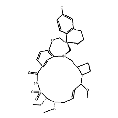 CC[C@H]1[C@@H](OC)C/C=C/C(OC)C2CCC2CN2C[C@@]3(CCCc4cc(Cl)ccc43)COc3ccc(cc32)C(=O)NS1(=O)=O